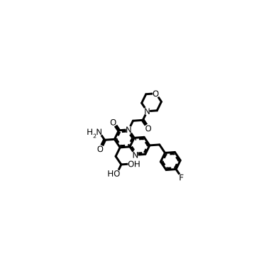 NC(=O)c1c(CC(O)O)c2ncc(Cc3ccc(F)cc3)cc2n(CC(=O)N2CCOCC2)c1=O